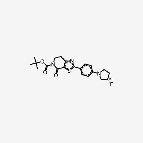 CC(C)(C)OC(=O)N1CCc2nc(-c3ccc(N4CC[C@H](F)C4)cc3)sc2C1=O